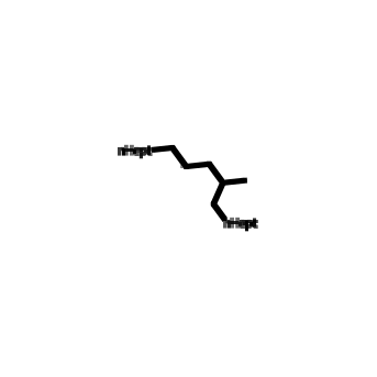 CCCCCCCC[CH]CC(C)CCCCCCCC